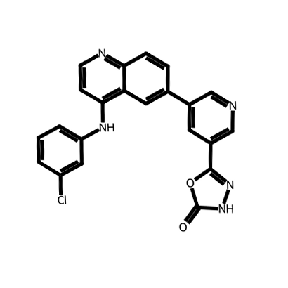 O=c1[nH]nc(-c2cncc(-c3ccc4nccc(Nc5cccc(Cl)c5)c4c3)c2)o1